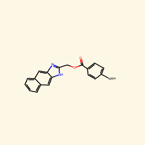 CNc1ccc(C(=O)OCc2nc3cc4ccccc4cc3[nH]2)cc1